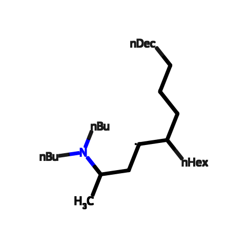 CCCCCCCCCCCCCC([CH]CC(C)N(CCCC)CCCC)CCCCCC